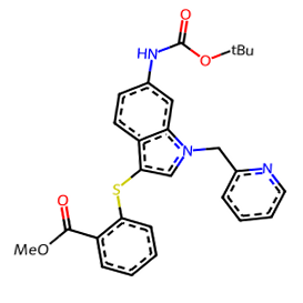 COC(=O)c1ccccc1Sc1cn(Cc2ccccn2)c2cc(NC(=O)OC(C)(C)C)ccc12